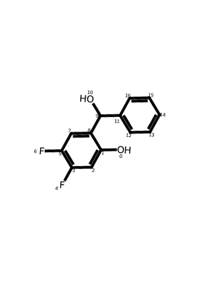 Oc1cc(F)c(F)cc1C(O)c1ccccc1